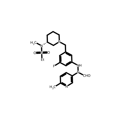 CCS(=O)(=O)N(C)[C@@H]1CCCN(Cc2cc(F)cc(NN(C=O)c3ccc(C)nc3)c2)C1